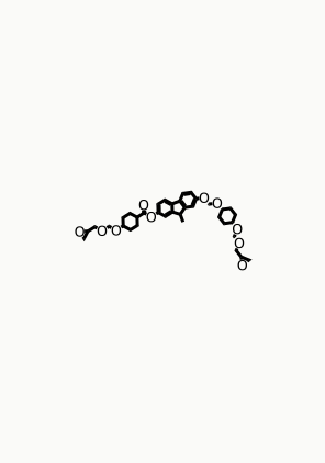 CC1c2cc(OCOC3CCC(OCOCC4CO4)CC3)ccc2-c2ccc(OC(=O)C3CCC(OCOCC4CO4)CC3)cc21